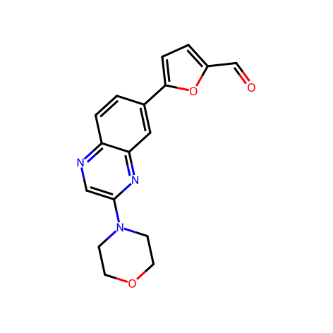 O=Cc1ccc(-c2ccc3ncc(N4CCOCC4)nc3c2)o1